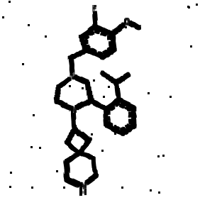 COc1ccc(CN2CCN(C3CC4(CCNCC4)C3)C(c3ccccc3C(C)C)C2)cc1F